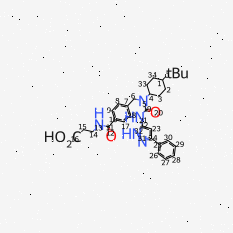 CC(C)(C)C1CCC(N(Cc2ccc(C(=O)NCCC(=O)O)cc2)C(=O)Nc2cc(-c3ccccc3)n[nH]2)CC1